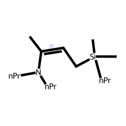 CCCN(CCC)/C(C)=C\C[Si](C)(C)CCC